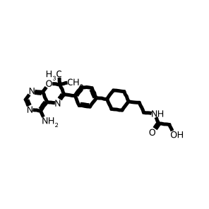 CC1(C)Oc2ncnc(N)c2N=C1c1ccc(C2CCC(CCNC(=O)CO)CC2)cc1